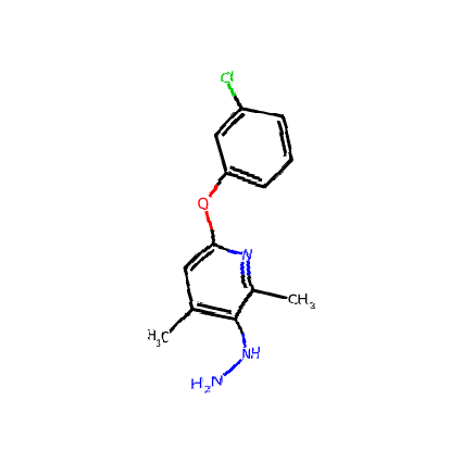 Cc1cc(Oc2cccc(Cl)c2)nc(C)c1NN